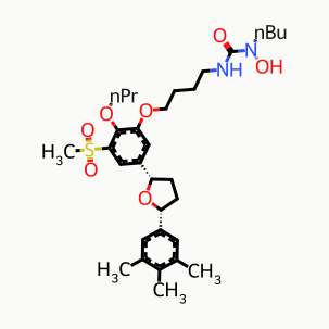 CCCCN(O)C(=O)NCCCCOc1cc([C@@H]2CC[C@H](c3cc(C)c(C)c(C)c3)O2)cc(S(C)(=O)=O)c1OCCC